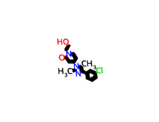 Cc1nc(-c2cccc(Cl)c2)c(C)n1-c1ccn(CCO)c(=O)c1